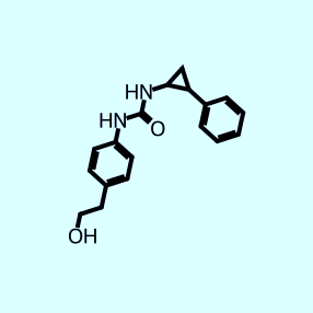 O=C(Nc1ccc(CCO)cc1)NC1CC1c1ccccc1